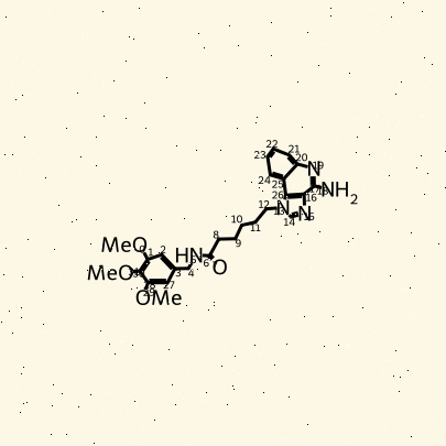 COc1cc(CNC(=O)CCCCCn2cnc3c(N)nc4ccccc4c32)cc(OC)c1OC